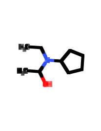 CCN(C(C)O)C1CCCC1